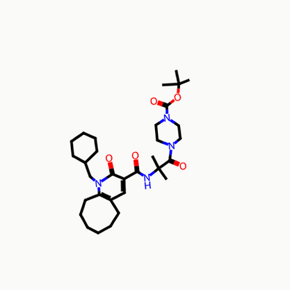 CC(C)(C)OC(=O)N1CCN(C(=O)C(C)(C)NC(=O)c2cc3c(n(CC4CCCCC4)c2=O)CCCCCC3)CC1